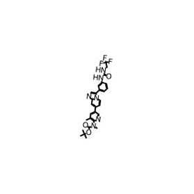 Cc1cc(-c2ccn3c(-c4cccc(NC(=O)NCC(F)(F)F)c4)cnc3c2)cnc1N(C)C(=O)OC(C)(C)C